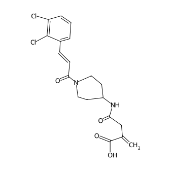 C=C(CC(=O)NC1CCN(C(=O)C=Cc2cccc(Cl)c2Cl)CC1)C(=O)O